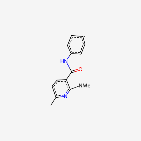 CNc1nc(C)ccc1C(=O)Nc1cc[c]cc1